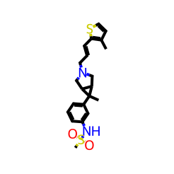 Cc1ccsc1/C=C/CN1CC2C(C1)C2(C)c1cccc(NS(C)(=O)=O)c1